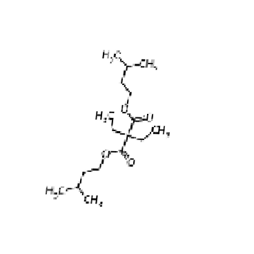 CCC(CC)(C(=O)OCCC(C)C)C(=O)OCCC(C)C